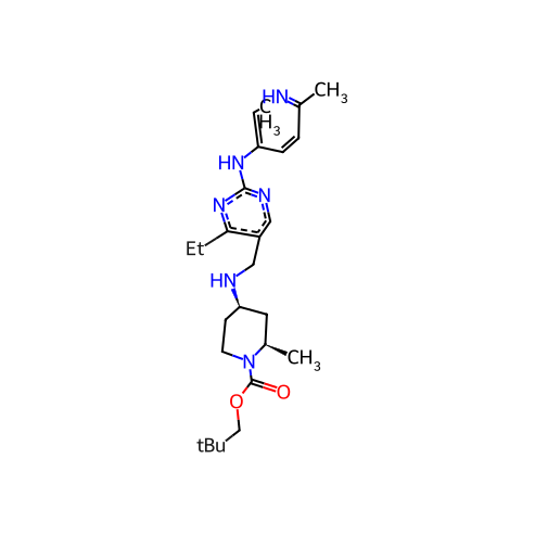 C/C=C(\C=C/C(C)=N)Nc1ncc(CN[C@@H]2CCN(C(=O)OCC(C)(C)C)[C@H](C)C2)c(CC)n1